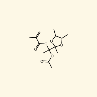 C=C(C)C(=O)OC(C)(OC(C)=O)C1(C)OC(C)C(C)O1